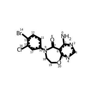 Nc1ncnc2c1C(=O)N(c1ccc(Br)c(Cl)c1)CCO2